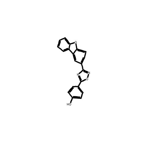 Oc1ccc(-c2nc(-c3ccc4oc5ccccc5c4c3)no2)cc1